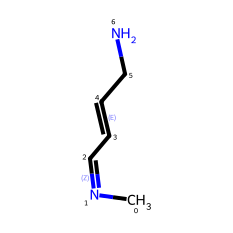 C/N=C\C=C\CN